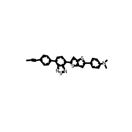 CC#Cc1ccc(-c2ccc(-c3cc4sc(-c5ccc(N(C)C)cc5)cc4s3)c3nsnc23)cc1